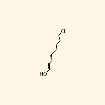 OC=CC=CCCCCCl